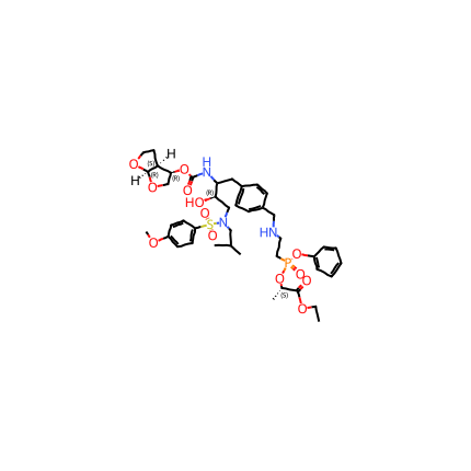 CCOC(=O)[C@H](C)OP(=O)(CCNCc1ccc(CC(NC(=O)O[C@H]2CO[C@H]3OCC[C@H]32)[C@H](O)CN(CC(C)C)S(=O)(=O)c2ccc(OC)cc2)cc1)Oc1ccccc1